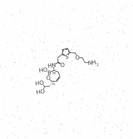 NCCOCc1ccc(CC(=O)N[C@H]2CC=C[C@H](CC(O)O)OB2O)s1